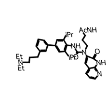 CCN(CC)CCCc1cccc(-c2cc(C(C)C)c(NC(=O)N(CCCNC(C)=O)c3cc4cccnc4[nH]c3=O)c(C(C)C)c2)c1